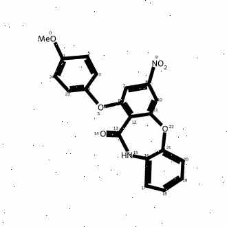 COc1ccc(Oc2cc([N+](=O)[O-])cc3c2C(=O)Nc2ccccc2O3)cc1